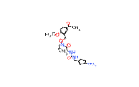 CCN(OCc1cc(C(C)=O)ccc1OC)C(=O)CNC(=O)NCc1ccc(N)cc1